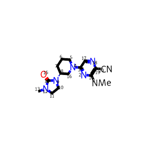 CNc1nc(N2CCC[C@@H](N3CCN(C)C3=O)C2)cnc1C#N